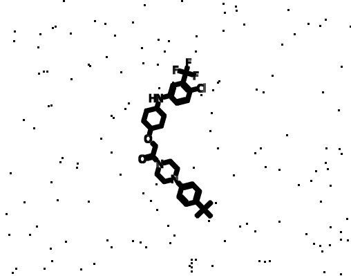 CC(C)(C)c1ccc(N2CCN(C(=O)COC3CCC(Nc4ccc(Cl)c(C(F)(F)F)c4)CC3)CC2)cc1